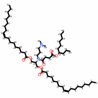 CCCCCCCC/C=C\CCCCCCCC(=O)OCC(COC(=O)CCCCCCC/C=C\CCCCCCCC)N(CCCN(C)C)C(=O)CCC(=O)OC(CCC)CCCCCC